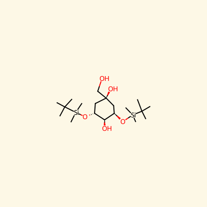 CC(C)(C)[Si](C)(C)O[C@@H]1C[C@](O)(CO)C[C@@H](O[Si](C)(C)C(C)(C)C)[C@H]1O